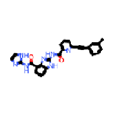 Cc1cccc(C#Cc2cccc(C(=O)Nc3nc4c(C(=O)Nc5ncc[nH]5)cccc4[nH]3)n2)c1